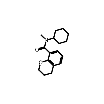 CN(C(=O)c1cccc2c1OCCC2)C1CCCCC1